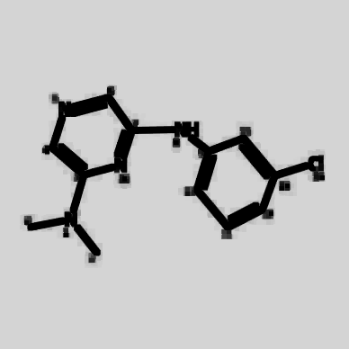 CN(C)c1cncc(Nc2cccc(Cl)c2)n1